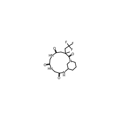 CC1(CC(F)(F)F)CC(=O)NCC(=O)NCC(=O)NC2CCCN(C2)C1=O